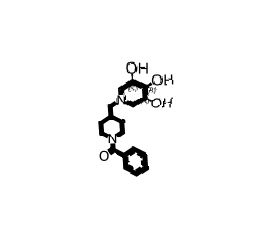 O=C(c1ccccc1)N1CCC(CN2C[C@@H](O)[C@H](O)[C@@H](O)C2)CC1